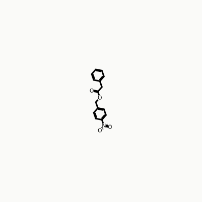 O=C(Cc1ccccc1)OCc1ccc([N+](=O)[O-])cc1